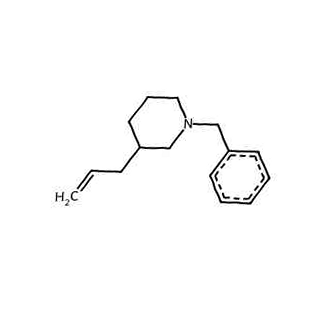 C=CCC1CCCN(Cc2ccccc2)C1